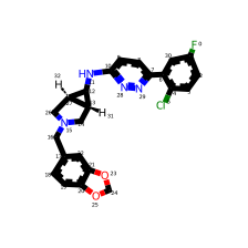 Fc1ccc(Cl)c(-c2ccc(NC3[C@@H]4CN(Cc5ccc6c(c5)OCO6)C[C@@H]34)nn2)c1